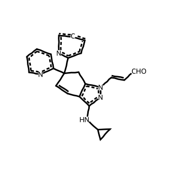 O=CC=Cn1nc(NC2CC2)c2c1CC(c1ccccn1)(c1ccccn1)C=C2